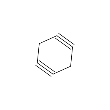 C1#CCC#CC1